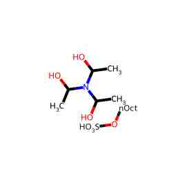 CC(O)N(C(C)O)C(C)O.CCCCCCCCOS(=O)(=O)O